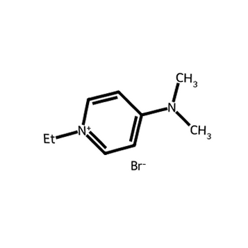 CC[n+]1ccc(N(C)C)cc1.[Br-]